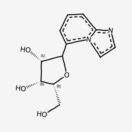 OC[C@H]1OC(c2cccc3nccn23)[C@@H](O)[C@H]1O